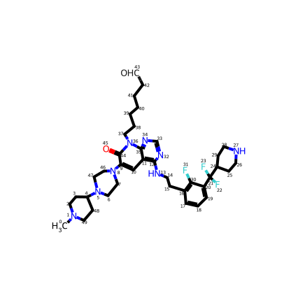 CN1CCC(N2CCN(c3cc4c(NCCc5cccc(C(F)(F)C6CCNCC6)c5F)ncnc4n(CCCCCCC=O)c3=O)CC2)CC1